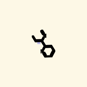 C=N/C(=C\C)c1ccccn1